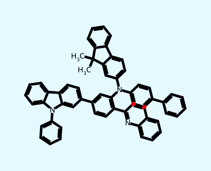 CC1(C)c2ccccc2-c2ccc(N(c3ccc(-c4ccccc4)cc3)c3cc(-c4ccc5c6ccccc6n(-c6ccccc6)c5c4)ccc3-c3ccc4ccccc4n3)cc21